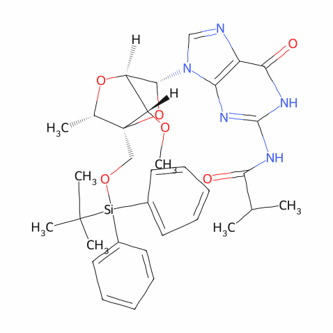 CO[C@H]1[C@H]2O[C@@H](C)[C@]1(CO[Si](c1ccccc1)(c1ccccc1)C(C)(C)C)O[C@H]2n1cnc2c(=O)[nH]c(NC(=O)C(C)C)nc21